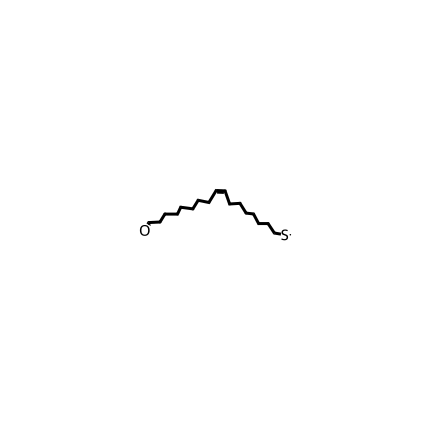 O=CCCCCCCC/C=C\CCCCCCC[S]